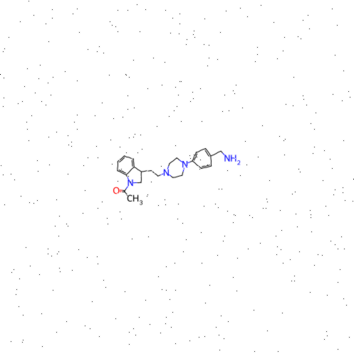 CC(=O)N1CC(CCN2CCN(c3ccc(CN)cc3)CC2)c2ccccc21